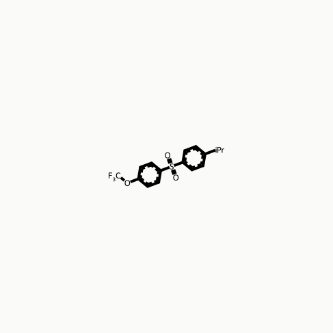 CC(C)c1ccc(S(=O)(=O)c2ccc(OC(F)(F)F)cc2)cc1